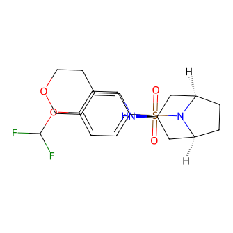 O=S(=O)(c1ccc(OC(F)F)cc1)N1[C@@H]2CC[C@H]1C[C@@H](NCC1CCOCC1)C2